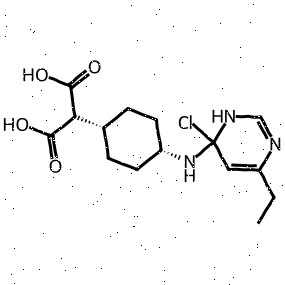 CCC1=CC(Cl)(N[C@H]2CC[C@@H](C(C(=O)O)C(=O)O)CC2)NC=N1